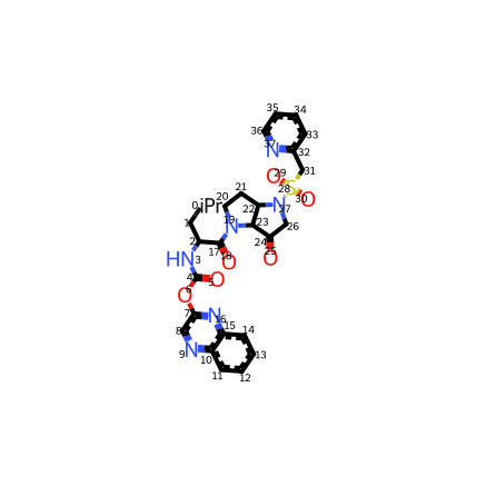 CC(C)CC(NC(=O)Oc1cnc2ccccc2n1)C(=O)N1CCC2C1C(=O)CN2S(=O)(=O)Cc1ccccn1